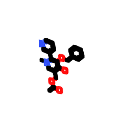 CC(=O)OCc1cn(C)c(-c2cccnc2)c(OCc2ccccc2)c1=O